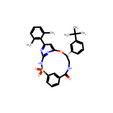 Cc1cccc(C)c1-c1cc2nc(n1)NS(=O)(=O)c1cccc(c1)C(=O)NC[C@@H](c1cccc(C(C)(C)C)c1)O2